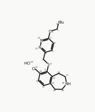 CC(C)(C)COc1ccc(CSc2c(Cl)ccc3c2CCNCC3)nn1.Cl